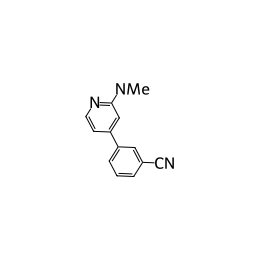 CNc1cc(-c2cccc(C#N)c2)ccn1